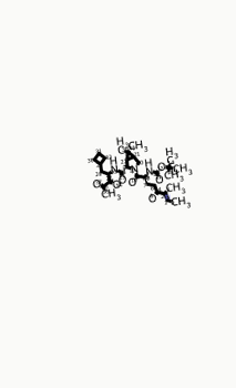 C/C=C(\C)C(=O)CC[C@H](NC(=O)OC(C)(C)C)C(=O)N1CC2C([C@H]1C(=O)NC(CC1CCC1)C(=O)C(C)=O)C2(C)C